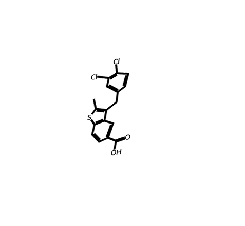 Cc1sc2ccc(C(=O)O)cc2c1Cc1ccc(Cl)c(Cl)c1